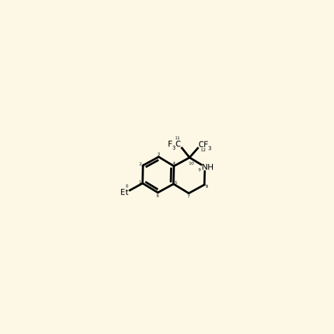 CCc1ccc2c(c1)CCNC2(C(F)(F)F)C(F)(F)F